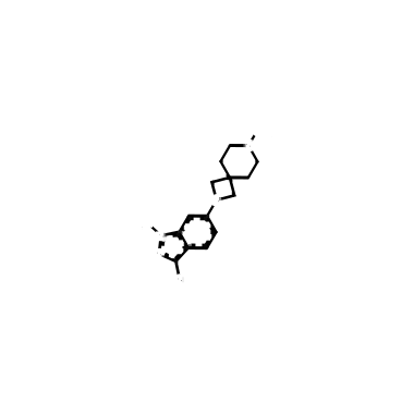 Cn1nc(N)c2ccc(N3CC4(CCN(C(=O)O)CC4)C3)cc21